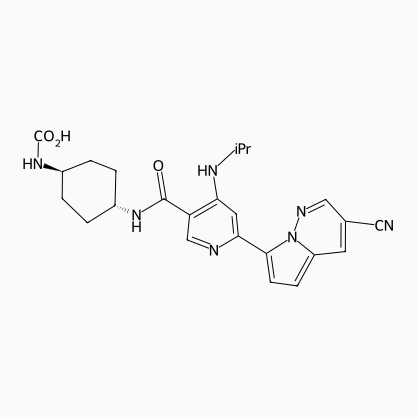 CC(C)Nc1cc(-c2ccc3cc(C#N)cnn23)ncc1C(=O)N[C@H]1CC[C@H](NC(=O)O)CC1